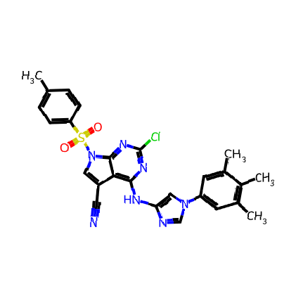 Cc1ccc(S(=O)(=O)n2cc(C#N)c3c(Nc4cn(-c5cc(C)c(C)c(C)c5)cn4)nc(Cl)nc32)cc1